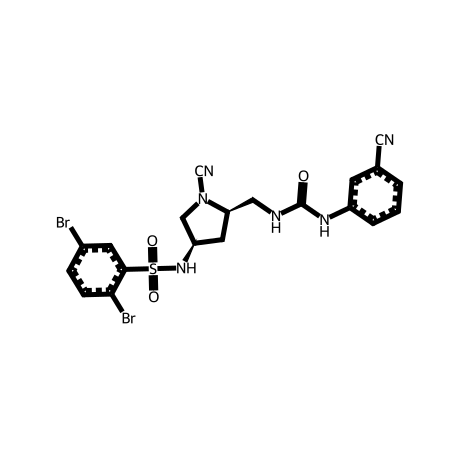 N#Cc1cccc(NC(=O)NC[C@H]2C[C@@H](NS(=O)(=O)c3cc(Br)ccc3Br)CN2C#N)c1